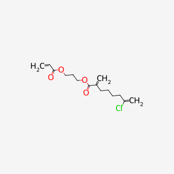 C=CC(=O)OCCCOC(=O)C(=C)CCCCC(=C)Cl